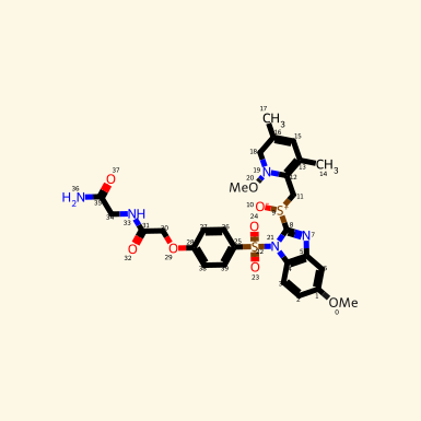 COc1ccc2c(c1)nc([S+]([O-])CC1=C(C)C=C(C)CN1OC)n2S(=O)(=O)c1ccc(OCC(=O)NCC(N)=O)cc1